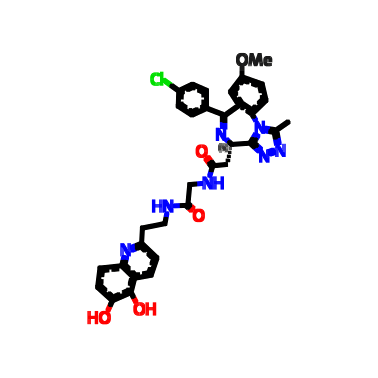 COc1ccc2c(c1)C(c1ccc(Cl)cc1)=N[C@@H](CC(=O)NCC(=O)NCCc1ccc3c(O)c(O)ccc3n1)c1nnc(C)n1-2